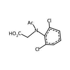 CC(=O)N(CC(=O)O)c1c(Cl)cccc1Cl